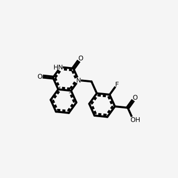 O=C(O)c1cccc(Cn2c(=O)[nH]c(=O)c3ccccc32)c1F